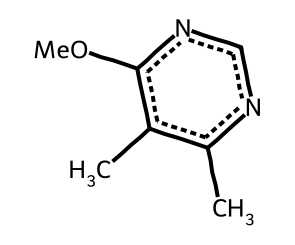 COc1ncnc(C)c1C